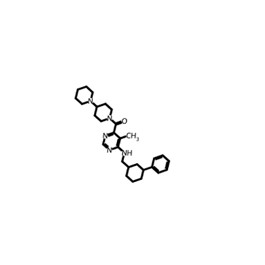 Cc1c(NCC2CCCC(c3ccccc3)C2)ncnc1C(=O)N1CCC(N2CCCCC2)CC1